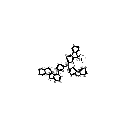 CC1(C)c2ccccc2-c2ccc(N(c3cccc(-c4cccc5oc6c7ccccc7ccc6c45)c3)c3ccc4sc5ccccc5c4c3)cc21